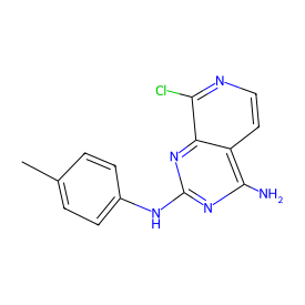 Cc1ccc(Nc2nc(N)c3ccnc(Cl)c3n2)cc1